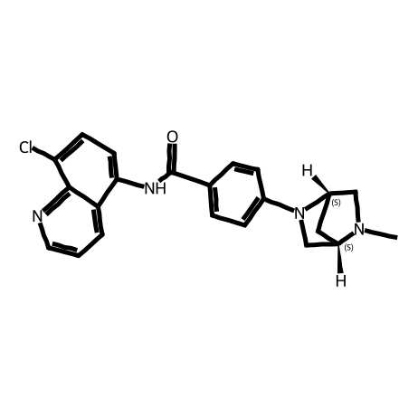 CN1C[C@@H]2C[C@H]1CN2c1ccc(C(=O)Nc2ccc(Cl)c3ncccc23)cc1